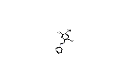 Oc1cc(Br)c(/C=C/c2ccccc2)cc1O